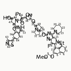 CCc1cccc2cc(OCOC)cc(-c3ncc4c(N5CCCCCC5)nc(OC[C@]56CCCN5[C@H](COc5cc([C@@H](C(=O)N7C[C@H](O)C[C@H]7C(=O)N[C@@H](C)c7ccc(-c8scnc8C)cc7)C(C)C)on5)CC6)nc4c3F)c12